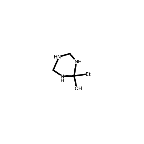 CCC1(O)NCNCN1